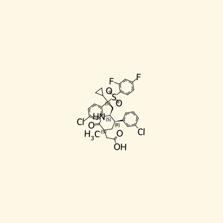 C[C@@]1(CC(=O)O)C[C@H](c2cccc(Cl)c2)[C@H](C[C@@](c2ccc(Cl)cc2)(C2CC2)S(=O)(=O)c2ccc(F)cc2F)NC1=O